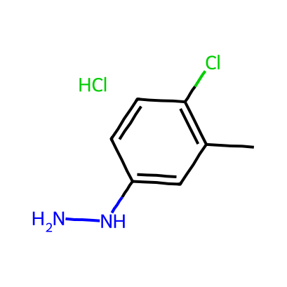 Cc1cc(NN)ccc1Cl.Cl